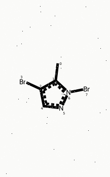 Cc1c(Br)cnn1Br